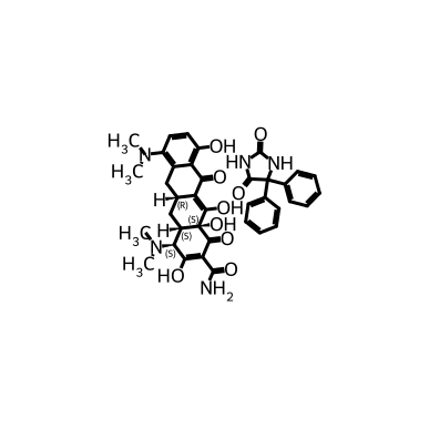 CN(C)c1ccc(O)c2c1C[C@H]1C[C@H]3[C@H](N(C)C)C(O)=C(C(N)=O)C(=O)[C@@]3(O)C(O)=C1C2=O.O=C1NC(=O)C(c2ccccc2)(c2ccccc2)N1